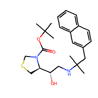 CC(C)(Cc1ccc2ccccc2c1)NC[C@H](O)[C@H]1CSCN1C(=O)OC(C)(C)C